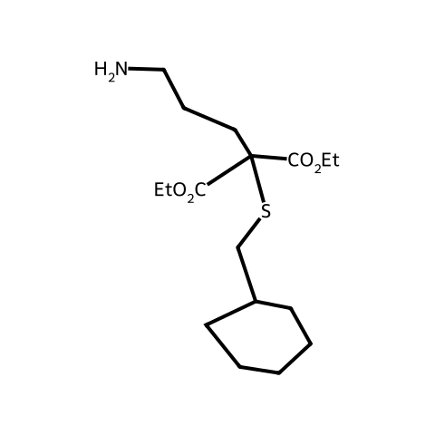 CCOC(=O)C(CCCN)(SCC1CCCCC1)C(=O)OCC